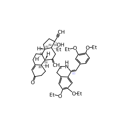 C#C[C@]1(O)CC[C@H]2[C@@H]3CCC4=CC(=O)CC[C@@H]4[C@H]3C(=C)C[C@@]21CC.CCOc1ccc(/C=C2\NCCc3cc(OCC)c(OCC)cc32)cc1OCC